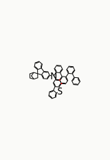 c1ccc(-c2ccccc2-c2ccccc2-c2ccccc2N(c2ccc3c(c2)-c2ccccc2C32CC3CCC2C3)c2ccc3sc4ccccc4c3c2)cc1